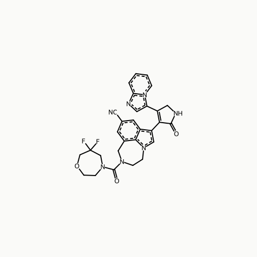 N#Cc1cc2c3c(c1)c(C1=C(c4cnc5ccccn45)CNC1=O)cn3CCN(C(=O)N1CCOCC(F)(F)C1)C2